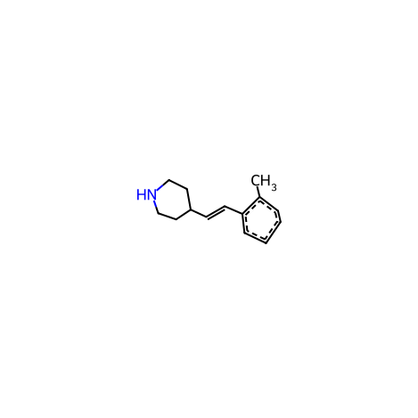 Cc1ccccc1C=CC1CCNCC1